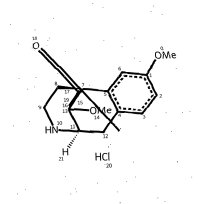 COc1ccc2c(c1)[C@]13CCN[C@H](C2)C1(OC)CCC(=O)C3.Cl